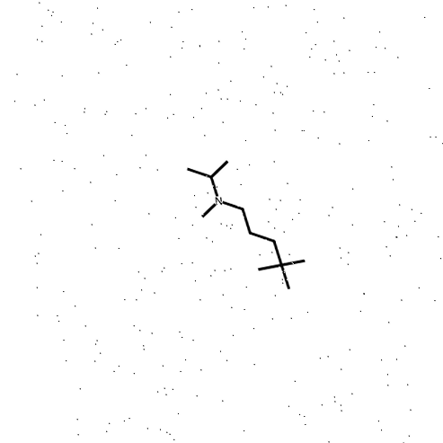 CC(C)N(C)CCCC(C)(C)C